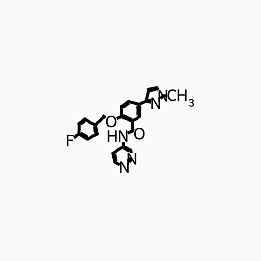 Cn1ccc(-c2ccc(OCc3ccc(F)cc3)c(C(=O)Nc3ccnnc3)c2)n1